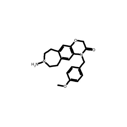 COc1ccc(CN2C(=O)COc3cc4c(cc32)CCN(N)CC4)cc1